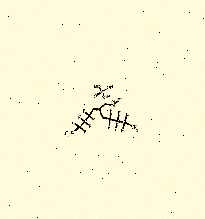 CCNCC(CC(F)(F)C(F)(F)C(F)(F)C(F)(F)F)CC(F)(F)C(F)(F)C(F)(F)C(F)(F)F.O=P(O)(O)O